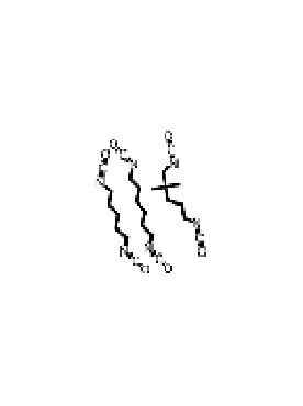 CC(C)(CCCN=C=O)CN=C=O.O=C=NCCCCCCN=C=O.O=C=NCCCCCN=C=O